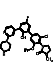 CC(C)Oc1cc(-c2cc(F)cc(-c3ccnc(N4CCNCC4)c3)c2O)cc(Cl)c1N1CCN(C)C1=O